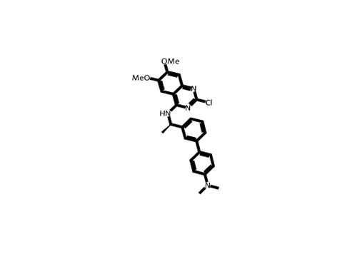 COc1cc2nc(Cl)nc(N[C@H](C)c3cccc(-c4ccc(N(C)C)cc4)c3)c2cc1OC